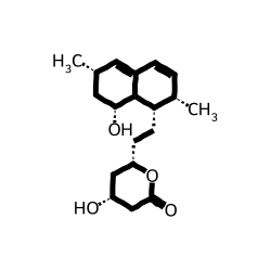 C[C@@H]1C=C2C=C[C@H](C)[C@H](CC[C@H]3C[C@@H](O)CC(=O)O3)C2[C@H](O)C1